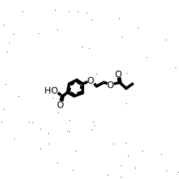 CCC(=O)OCCOc1ccc(C(=O)O)cc1